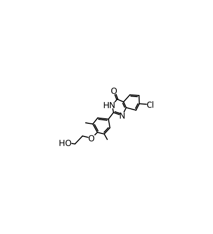 Cc1cc(-c2nc3cc(Cl)ccc3c(=O)[nH]2)cc(C)c1OCCO